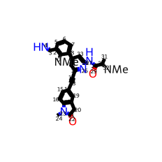 CNc1c(C=N)cccc1-c1cc(C#Cc2ccc3c(c2)CC(=O)N3C)nc(NC(=O)C(C)NC)c1